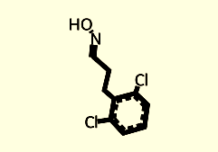 O/N=C/CCc1c(Cl)cccc1Cl